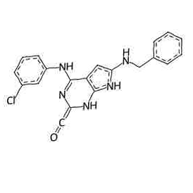 O=C=C1N=C(Nc2cccc(Cl)c2)c2cc(NCc3ccccc3)[nH]c2N1